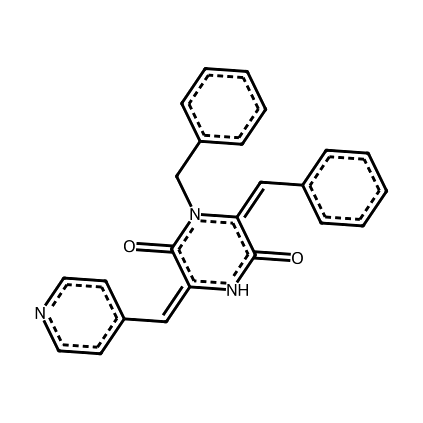 O=c1[nH]c(=Cc2ccncc2)c(=O)n(Cc2ccccc2)c1=Cc1ccccc1